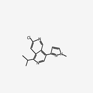 CC(C)c1ncc(-c2ccn(C)n2)c2cnc(Cl)cc12